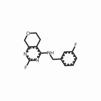 Fc1cccc(CNc2nc(F)nc3c2CCOC3)c1